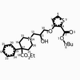 CCCCOC(=O)c1sccc1OCC(O)CN1CCC(C(=O)OCC)(c2ccccc2)CC1